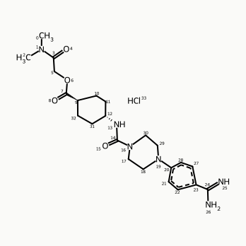 CN(C)C(=O)COC(=O)[C@H]1CC[C@H](NC(=O)N2CCN(c3ccc(C(=N)N)cc3)CC2)CC1.Cl